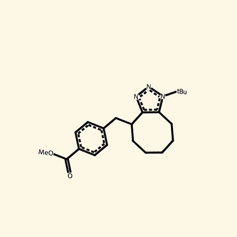 COC(=O)c1ccc(CC2CCCCCc3c2nnn3C(C)(C)C)cc1